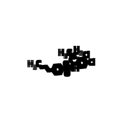 CCCCc1ccc(S(=O)(=O)N[C@@H](CN(C)C)c2ccc(Cl)c(Cl)c2)cc1